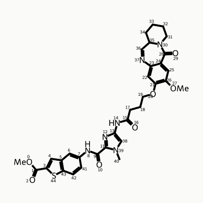 COC(=O)c1cc2cc(NC(=O)c3nc(NC(=O)CCCOc4cc5c(cc4OC)C(=O)N4CCCCC4C=N5)cn3C)ccc2s1